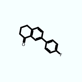 O=C1CCCc2ccc(-c3ccc(F)cc3)cc21